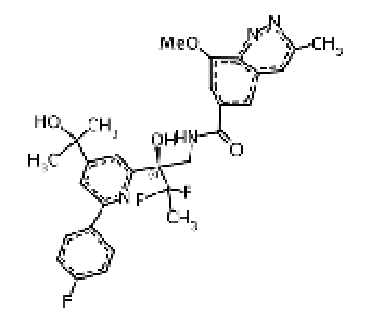 COc1cc(C(=O)NC[C@@](O)(c2cc(C(C)(C)O)cc(-c3ccc(F)cc3)n2)C(C)(F)F)cc2cc(C)nnc12